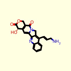 NC/C=C/c1c2c(nc3ccccc13)-c1cc3c(c(=O)n1C2)COC(=O)[C@H]3O